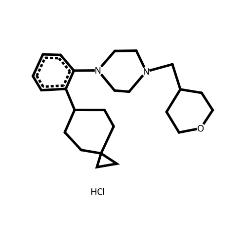 Cl.c1ccc(N2CCN(CC3CCOCC3)CC2)c(C2CCC3(CC2)CC3)c1